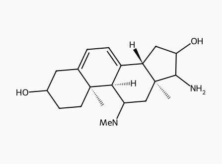 CNC1C[C@]2(C)C(N)C(O)C[C@H]2C2=CC=C3CC(O)CC[C@]3(C)[C@@H]21